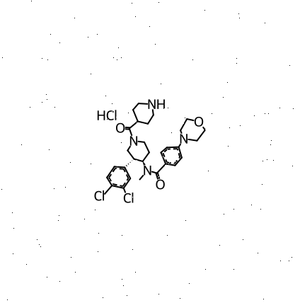 CN(C(=O)c1ccc(N2CCOCC2)cc1)[C@@H]1CCN(C(=O)C2CCNCC2)C[C@H]1c1ccc(Cl)c(Cl)c1.Cl